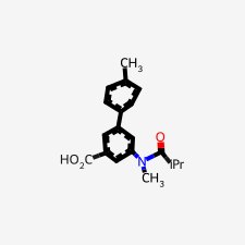 Cc1ccc(-c2cc(C(=O)O)cc(N(C)C(=O)C(C)C)c2)cc1